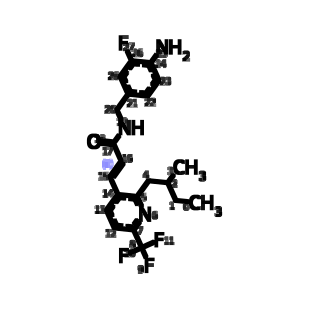 CCC(C)Cc1nc(C(F)(F)F)ccc1/C=C/C(=O)NCc1ccc(N)c(F)c1